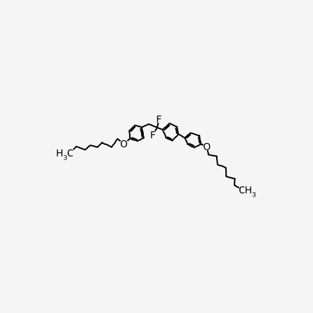 CCCCCCCCOc1ccc(CC(F)(F)c2ccc(-c3ccc(OCCCCCCCC)cc3)cc2)cc1